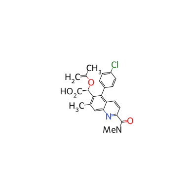 C=C(C)O[C@H](C(=O)O)c1c(C)cc2nc(C(=O)NC)ccc2c1-c1ccc(Cl)cc1